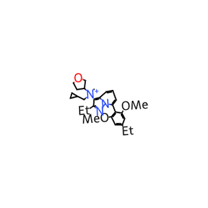 CCc1cc(OC)c(-c2cccc3c([N+](C)(CC4CC4)C4CCOC4)c(CC)nn23)c(OC)c1